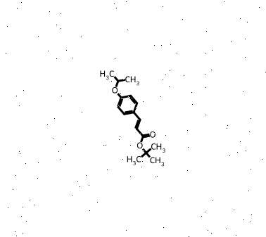 CC(C)Oc1ccc(C=CC(=O)OC(C)(C)C)cc1